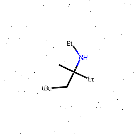 CCNC(C)(CC)CC(C)(C)C